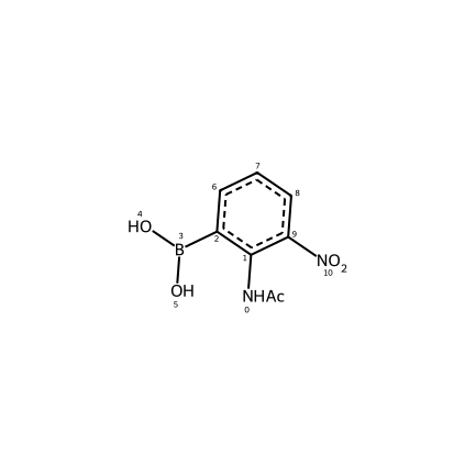 CC(=O)Nc1c(B(O)O)cccc1[N+](=O)[O-]